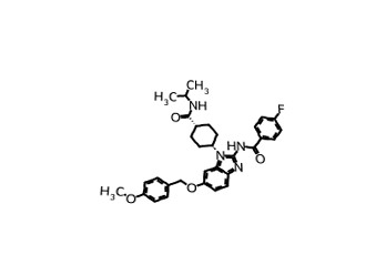 COc1ccc(COc2ccc3nc(NC(=O)c4ccc(F)cc4)n([C@H]4CC[C@@H](C(=O)NC(C)C)CC4)c3c2)cc1